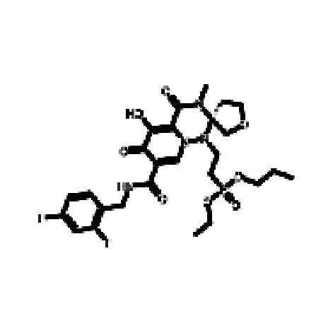 CCCOP(=O)(CCN1n2cc(C(=O)NCc3ccc(F)cc3F)c(=O)c(O)c2C(=O)N(C)[C@]12CCOC2)OCC